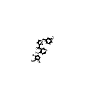 [CH2][C@@H]1C[C@@H](Nc2ccncc2C(=O)c2ccn(Cc3cccc(Cl)c3)n2)[C@@H](F)[C@@H]1O